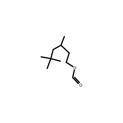 CC(CCOC=O)CC(C)(C)C